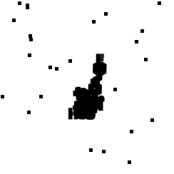 Cc1nc(C)c(C(OC(C)(C)C)C(=O)O)c(N2CCC(C)(C)CC2)c1C1=CCN(CCc2ccc(F)cc2)CC1